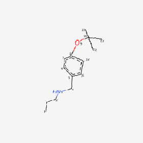 CCCNCc1ccc(OC(C)(C)C)cc1